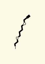 C#CCOCCCCOCCI